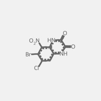 O=c1[nH]c2cc(Cl)c(Br)c([N+](=O)[O-])c2[nH]c1=O